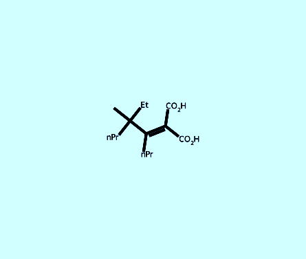 CCCC(=C(C(=O)O)C(=O)O)C(C)(CC)CCC